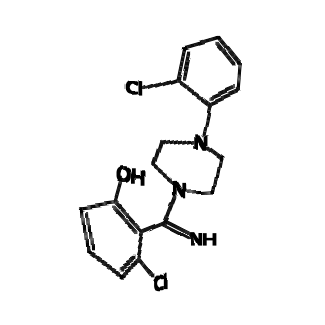 N=C(c1c(O)cccc1Cl)N1CCN(c2ccccc2Cl)CC1